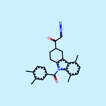 Cc1ccc(C(=O)n2c3c(c4c(C)ccc(C)c42)CC(C(=O)C=[N+]=[N-])CC3)cc1C